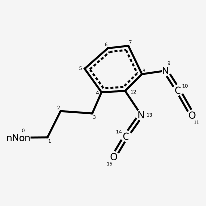 CCCCCCCCCCCCc1cccc(N=C=O)c1N=C=O